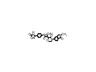 CC(=O)OC(C(=O)Nc1ccc(-c2noc(=O)[nH]2)cc1)C1OCCN(c2ccc3c(c2)CN(C)C3=O)C1=O